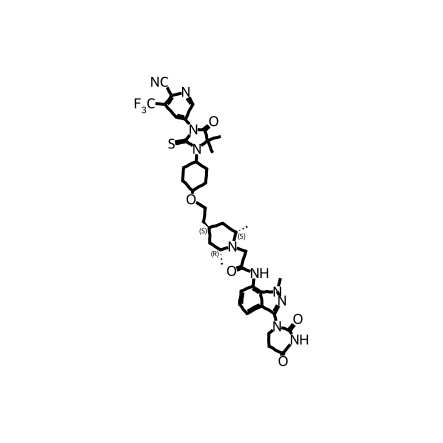 C[C@@H]1C[C@@H](CCOC2CCC(N3C(=S)N(c4cnc(C#N)c(C(F)(F)F)c4)C(=O)C3(C)C)CC2)C[C@H](C)N1CC(=O)Nc1cccc2c(N3CCC(=O)NC3=O)nn(C)c12